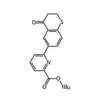 CC(C)(C)OC(=O)c1cccc(-c2ccc3c(c2)C(=O)CCS3)n1